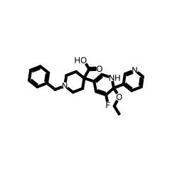 CCOC1(c2cccnc2)NC=C(C2(C(=O)O)CCN(Cc3ccccc3)CC2)C=C1F